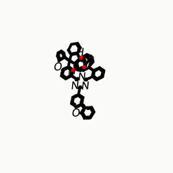 C1=CC2=C(CC1)C1(c3ccccc3Oc3ccc(-c4nc(-c5ccc6oc7ccccc7c6c5)nc(-c5ccccc5C56CC[C@@H]7CC(C[C@@H](C7)C5)C6)n4)cc31)c1ccccc12